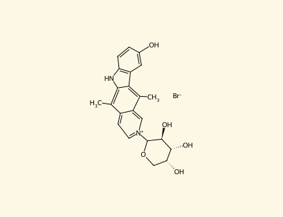 Cc1c2cc[n+](C3OC[C@@H](O)[C@@H](O)[C@@H]3O)cc2c(C)c2c1[nH]c1ccc(O)cc12.[Br-]